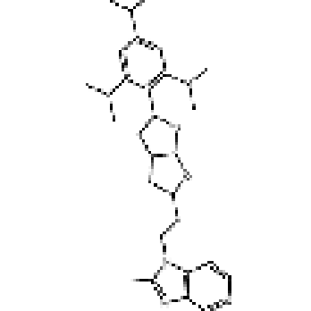 Cc1nc2cnccc2n1CCC1CC2CC(c3c(C(C)C)cc(C(C)C)cc3C(C)C)OC2O1